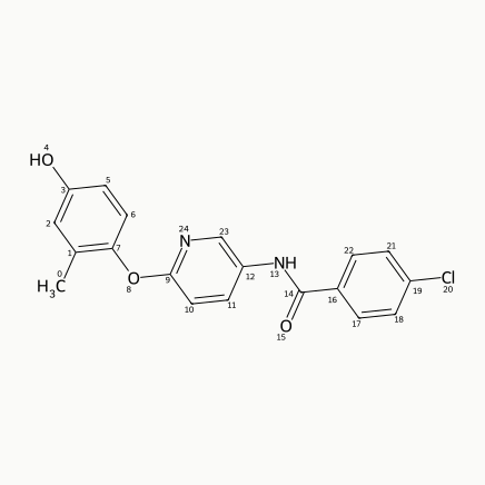 Cc1cc(O)ccc1Oc1ccc(NC(=O)c2ccc(Cl)cc2)cn1